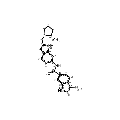 C[C@H]1CCCN1Cc1cc2cnc(NC(=O)c3ccc4c(N)n[nH]c4c3)cc2[nH]1